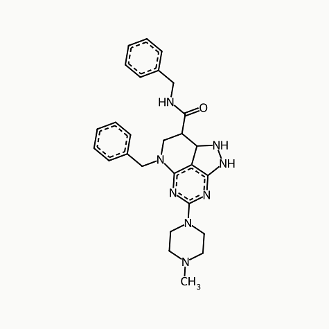 CN1CCN(c2nc3c4c(n2)N(Cc2ccccc2)CC(C(=O)NCc2ccccc2)C4NN3)CC1